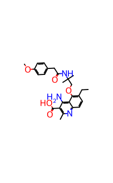 CCc1ccc2nc(C)c(C(=O)O)c(N)c2c1OCC(C)(C)NC(=O)Cc1ccc(OC)cc1